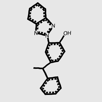 CC(c1ccccc1)c1ccc(O)c(-n2nc3ccccc3n2)c1